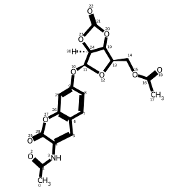 CC(=O)Nc1cc2ccc(O[C@@H]3O[C@H](COC(C)=O)C4OC(=O)O[C@@H]43)cc2oc1=O